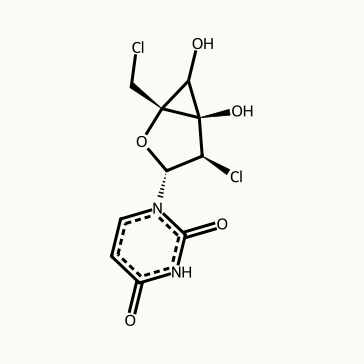 O=c1ccn([C@@H]2O[C@]3(CCl)C(O)[C@]3(O)[C@H]2Cl)c(=O)[nH]1